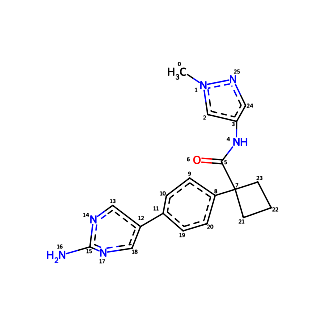 Cn1cc(NC(=O)C2(c3ccc(-c4cnc(N)nc4)cc3)CCC2)cn1